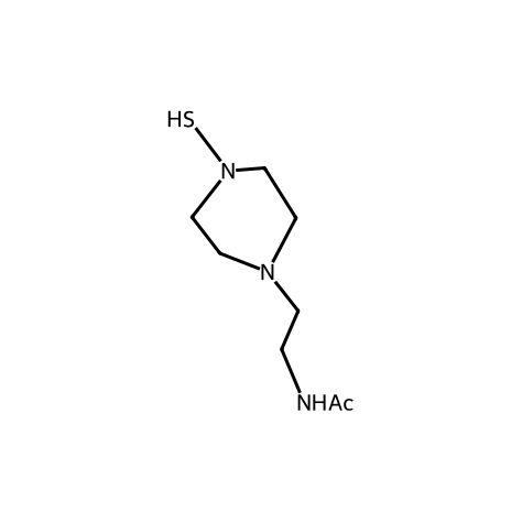 CC(=O)NCCN1CCN(S)CC1